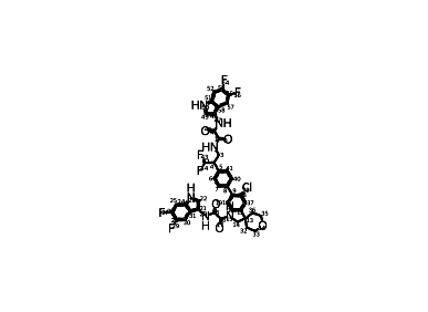 O=C(NCC(c1ccc(-c2ccc(C3(CNC(=O)C(=O)Nc4c[nH]c5cc(F)c(F)cc45)CCOCC3)cc2Cl)cc1)C(F)F)C(=O)Nc1c[nH]c2cc(F)c(F)cc12